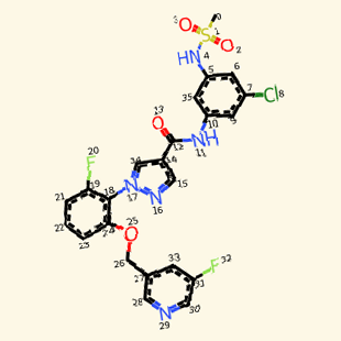 CS(=O)(=O)Nc1cc(Cl)cc(NC(=O)c2cnn(-c3c(F)cccc3OCc3cncc(F)c3)c2)c1